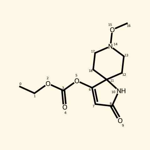 CCOC(=O)OC1=CC(=O)NC12CCN(OC)CC2